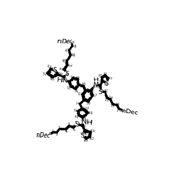 CCCCCCCCCCCCCCCCSC(Nc1ccc(Cc2ccc(NC(SCCCCCCCCCCCCCCCC)c3cccs3)c(Cc3ccc(NC(SCCCCCCCCCCCCCCCC)c4cccs4)cc3)c2)cc1)c1cccs1